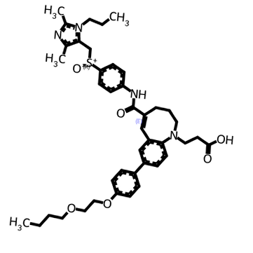 CCCCOCCOc1ccc(-c2ccc3c(c2)/C=C(/C(=O)Nc2ccc([S@@+]([O-])Cc4c(C)nc(C)n4CCC)cc2)CCCN3CCC(=O)O)cc1